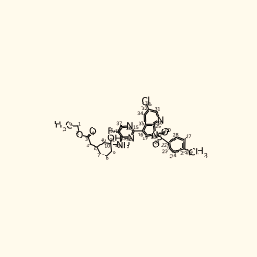 CCOC(=O)CC1CCCC(O)(Nc2nc(-c3cn(S(=O)(=O)c4ccc(C)cc4)c4ncc(Cl)cc34)ncc2F)C1